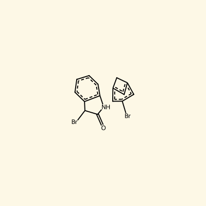 Brc1cc2cc(c1)C2.O=C1Nc2ccccc2C1Br